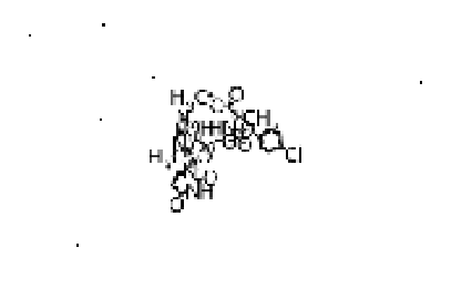 CCOC(=O)[C@H](C)NP(=O)(OC[C@H]1O[C@@H](n2ccc(=O)[nH]c2=O)[C@](C)(N=[N+]=[N-])[C@@H]1O)Oc1ccc(Cl)cc1